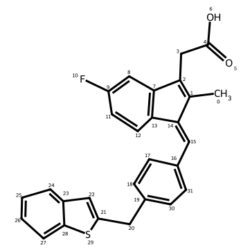 CC1=C(CC(=O)O)c2cc(F)ccc2/C1=C\c1ccc(Cc2cc3ccccc3s2)cc1